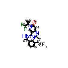 Cc1nc(NC(C)c2cccc(CC(F)(F)F)c2)c2cn(C3(C(F)F)CC3)c(=O)cc2n1